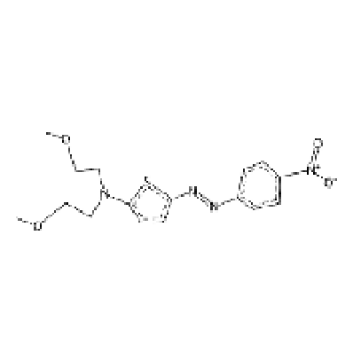 COCCN(CCOC)c1ccc(N=Nc2ccc([N+](=O)[O-])cc2)s1